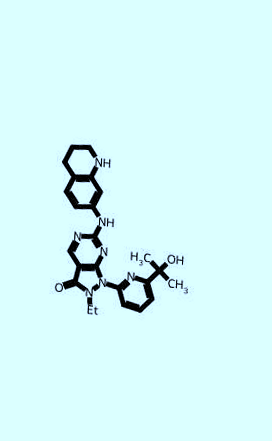 CCn1c(=O)c2cnc(Nc3ccc4c(c3)NCCC4)nc2n1-c1cccc(C(C)(C)O)n1